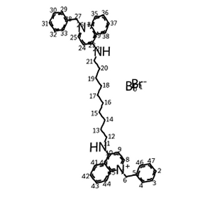 [Br-].[Br-].c1ccc(C[n+]2ccc(NCCCCCCCCCCNc3cc[n+](Cc4ccccc4)c4ccccc34)c3ccccc32)cc1